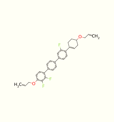 C=CCOc1ccc(-c2ccc(-c3ccc(C4=CCC(OCC=C)CC4)c(F)c3)cc2)c(F)c1F